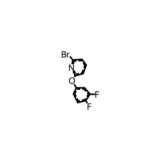 Fc1ccc(Oc2cccc(Br)n2)cc1F